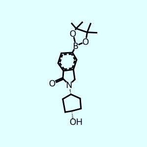 CC1(C)OB(c2ccc3c(c2)CN([C@H]2CC[C@@H](O)CC2)C3=O)OC1(C)C